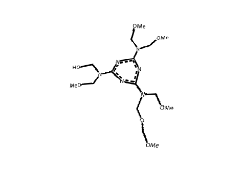 COCOCN(COC)c1nc(N(CO)COC)nc(N(COC)COC)n1